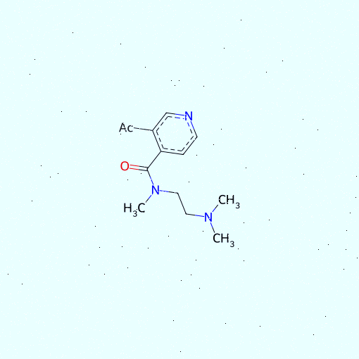 CC(=O)c1cnccc1C(=O)N(C)CCN(C)C